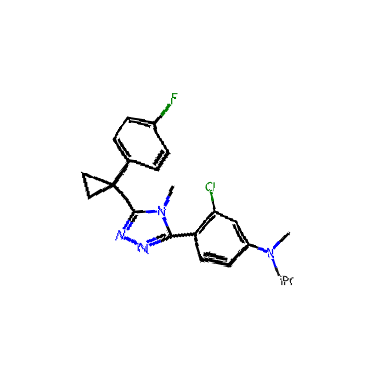 CC(C)N(C)c1ccc(-c2nnc(C3(c4ccc(F)cc4)CC3)n2C)c(Cl)c1